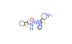 CCN1CCCc2c(sc(-n3cccc3)c2CNC(=O)Nc2sc3c(c2C)CCCC3)C1